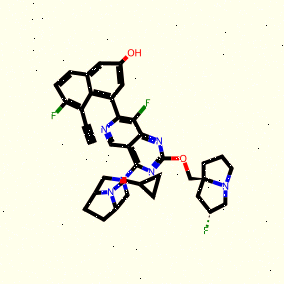 C#Cc1c(F)ccc2cc(O)cc(-c3ncc4c(N5CC6CCC(C5)N6CC5CC5)nc(OC[C@@]56CCCN5C[C@H](F)C6)nc4c3F)c12